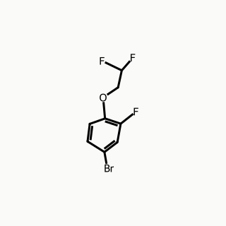 Fc1cc(Br)ccc1OCC(F)F